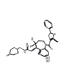 Cc1nc(-c2ccccc2)sc1C(=O)N1CCC(F)(F)/C(=C\C(=O)NCC2CCNCC2)c2ccccc21.Cl.Cl